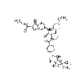 CCOC(=O)c1cc2cc(NC(=O)[C@@H]3[C@H]([C@H]4CC[C@H](OC)CC4)CCN3C(=O)C3CCC([C@@H](CF)NC(=O)OC(C)(C)C)CC3)ccc2[nH]1